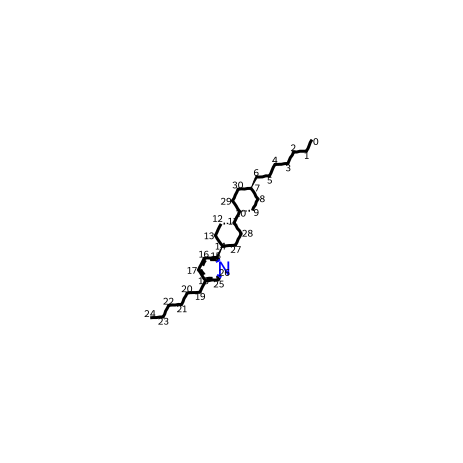 CCCCCCC[C@H]1CC[C@H]([C@H]2CC[C@H](c3ccc(CCCCCC)cn3)CC2)CC1